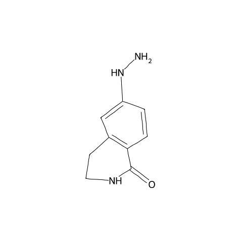 NNc1ccc2c(c1)CCNC2=O